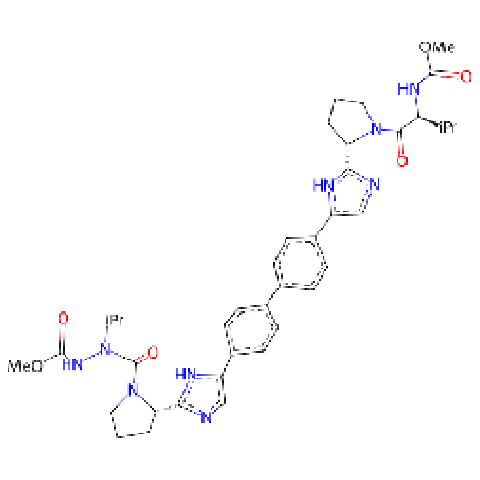 COC(=O)N[C@H](C(=O)N1CCC[C@H]1c1ncc(-c2ccc(-c3ccc(-c4cnc([C@@H]5CCCN5C(=O)N(NC(=O)OC)C(C)C)[nH]4)cc3)cc2)[nH]1)C(C)C